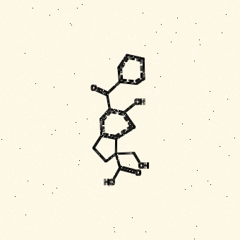 O=C(c1ccccc1)c1cc2c(cc1O)C(CO)(C(=O)O)CC2